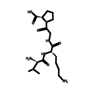 CC(C)[C@H](N)C(=O)N[C@@H](CCCCN)C(=O)NCC(=O)N1CCC[C@H]1C(=O)O